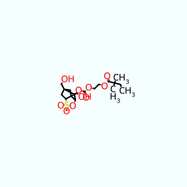 CCC(C)(C)C(=O)OCCOC(=O)OC1C2OS(=O)(=O)C3CC1(CO)CC23CO